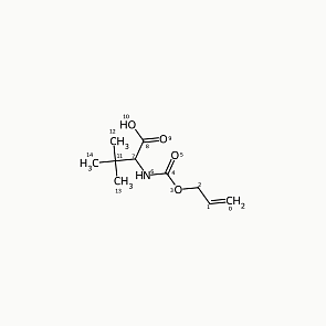 C=CCOC(=O)NC(C(=O)O)C(C)(C)C